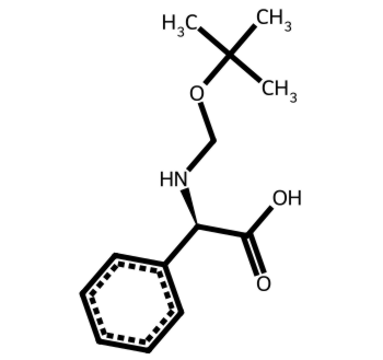 CC(C)(C)OCN[C@@H](C(=O)O)c1ccccc1